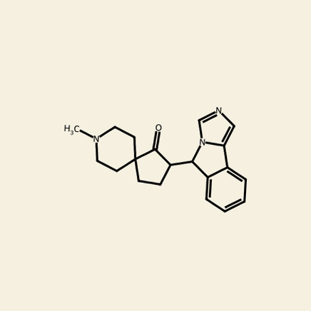 CN1CCC2(CCC(C3c4ccccc4-c4cncn43)C2=O)CC1